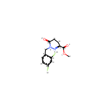 COC(=O)C1=NN(Cc2ccc(F)cc2F)C(=O)CC1